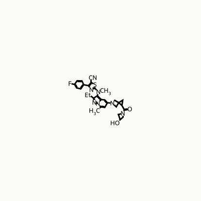 CCc1nn2c(C)cc(N3CC4(CC4C(=O)N4CC(O)C4)C3)cc2c1N(C)c1nc(-c2ccc(F)cc2)c(C#N)s1